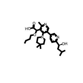 CCCCOC(C(=O)O)c1c(C)ncc(-c2ccc([C@@H](O)CC(C)C)nc2)c1N1CCC(C)(C)CC1